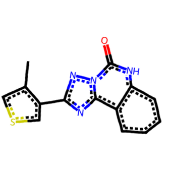 Cc1cscc1-c1nc2c3ccccc3[nH]c(=O)n2n1